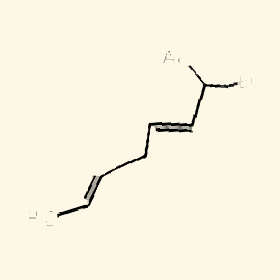 CC=CCC=CC(CC)C(C)=O